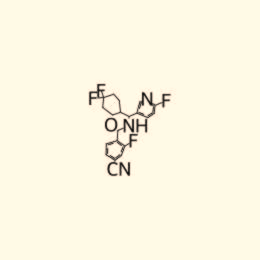 N#Cc1ccc(C(=O)NC(c2ccc(F)nc2)C2CCC(F)(F)CC2)c(F)c1